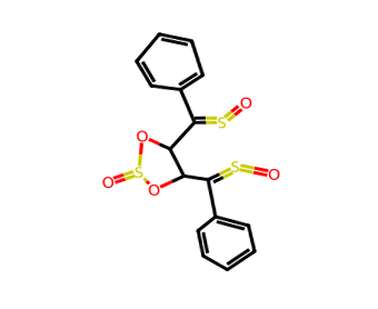 O=S=C(c1ccccc1)C1OS(=O)OC1C(=S=O)c1ccccc1